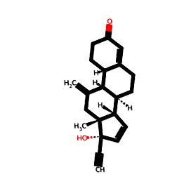 C#C[C@]1(O)C=C[C@H]2[C@@H]3CCC4=CC(=O)CC[C@@H]4[C@@H]3C(=C)C[C@]21C